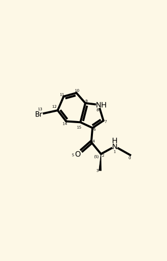 CN[C@@H](C)C(=O)c1c[nH]c2ccc(Br)cc12